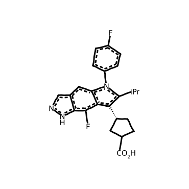 CC(C)c1c([C@@H]2CCC(C(=O)O)C2)c2c(F)c3[nH]ncc3cc2n1-c1ccc(F)cc1